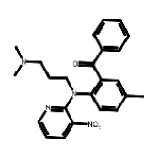 Cc1ccc(N(CCCN(C)C)c2ncccc2[N+](=O)[O-])c(C(=O)c2ccccc2)c1